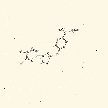 CC(=O)N[C@@H](C)c1ccc(O[C@@H]2CCN(c3ccc(F)c(F)c3)C2)cc1